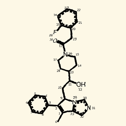 CC1=C(c2ccccc2)C(CC(O)C2CCN(C(=O)Cc3ccccc3F)CC2)n2cncc21